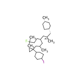 CC(CC(CCC(C)(C)F)C[C@H](C)C[C@H]1CC[C@@H](C)CC1)CC1(C2CCC(I)CC2)CC1